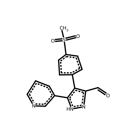 CS(=O)(=O)c1ccc(-c2c(C=O)n[nH]c2-c2cccnc2)cc1